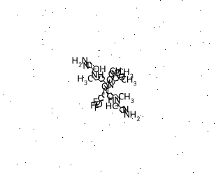 COc1cc(CN(CC(=O)N(Cc2ccc(OC(F)(F)F)cc2)c2cccc(CC(C)NC[C@H](O)c3ccc(N)nc3)c2)C(=O)Cc2cccc(CC(C)NC[C@H](O)c3ccc(N)nc3)c2)cc(OC)c1OC